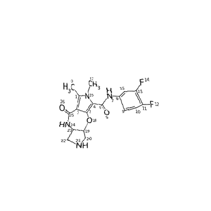 Cc1c2c(c(C(=O)Nc3ccc(F)c(F)c3)n1C)OC1CNCC1NC2=O